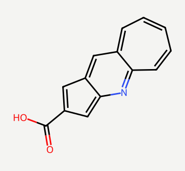 O=C(O)c1cc2cc3cccccc3nc2c1